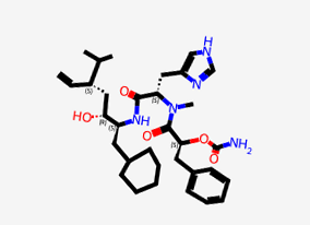 C=C[C@@H](C[C@@H](O)[C@H](CC1CCCCC1)NC(=O)[C@H](Cc1c[nH]cn1)N(C)C(=O)[C@H](Cc1ccccc1)OC(N)=O)C(C)C